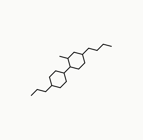 CCCCC1CCC(C2CCC(CCC)CC2)C(C)C1